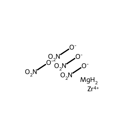 O=[N+]([O-])[O-].O=[N+]([O-])[O-].O=[N+]([O-])[O-].O=[N+]([O-])[O-].[MgH2].[Zr+4]